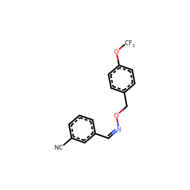 N#Cc1cccc(/[C]=N\OCc2ccc(OC(F)(F)F)cc2)c1